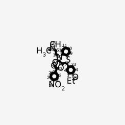 CCOc1ccc([C@@H]2Sc3ccccc3N(CCN(C)C)C(=O)[C@@H]2OC(=O)c2ccc([N+](=O)[O-])cc2)cc1